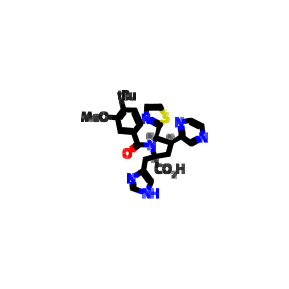 COc1cc(C(=O)N2[C@@H](c3nccs3)[C@@H](c3cnccn3)C[C@]2(Cc2c[nH]cn2)C(=O)O)ccc1C(C)(C)C